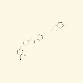 Cc1cc2c(cc1C)CN(C1CCN(c3ccc(C(=O)NC45CCC(Oc6ccc(C#N)c(Cl)c6)(CC4)CC5)cc3)CC1)C2